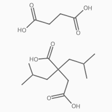 CC(C)CC(CC(=O)O)(CC(C)C)C(=O)O.O=C(O)CCC(=O)O